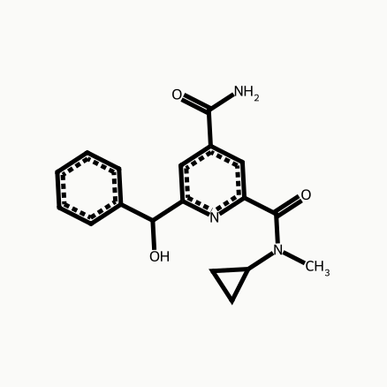 CN(C(=O)c1cc(C(N)=O)cc(C(O)c2ccccc2)n1)C1CC1